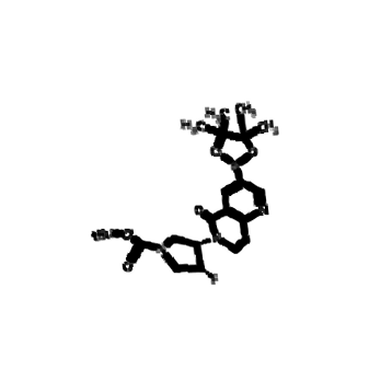 CC(C)(C)OC(=O)N1C[C@@H](F)[C@@H](N2CCc3ncc(B4OC(C)(C)C(C)(C)O4)cc3C2=O)C1